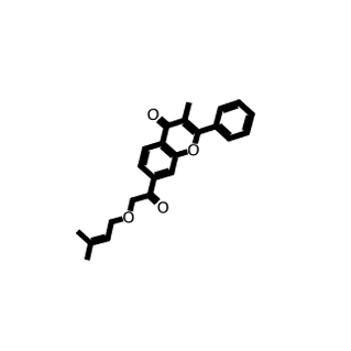 CC(C)=CCOCC(=O)c1ccc2c(=O)c(C)c(-c3ccccc3)oc2c1